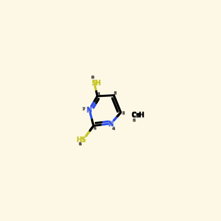 Sc1ccnc(S)n1.[CsH]